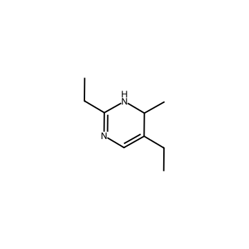 CCC1=CN=C(CC)NC1C